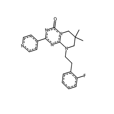 CC1(C)CN(CCc2ccccc2F)c2nc(-c3ccncc3)nc(=O)n2C1